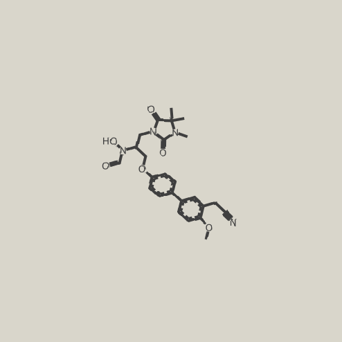 COc1ccc(-c2ccc(OCC(CN3C(=O)N(C)C(C)(C)C3=O)N(O)C=O)cc2)cc1CC#N